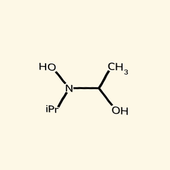 CC(C)N(O)C(C)O